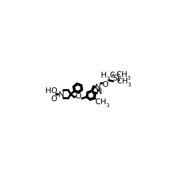 Cc1cc(COCC2(c3ccccc3)CCN(C(=O)O)CC2)cc2cn(COCC[Si](C)(C)C)nc12